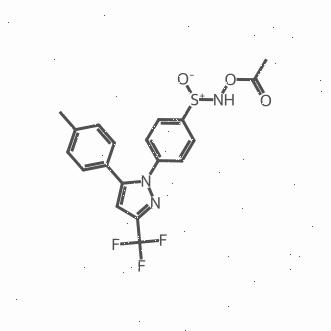 CC(=O)ON[S+]([O-])c1ccc(-n2nc(C(F)(F)F)cc2-c2ccc(C)cc2)cc1